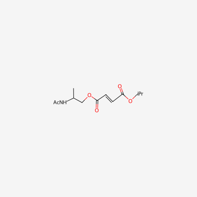 CC(=O)NC(C)COC(=O)/C=C/C(=O)OC(C)C